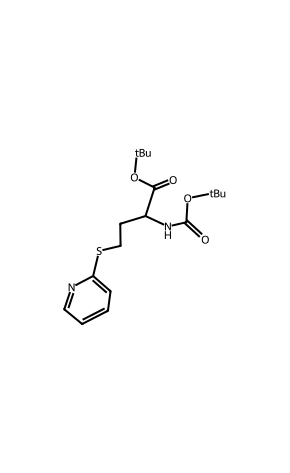 CC(C)(C)OC(=O)NC(CCSc1ccccn1)C(=O)OC(C)(C)C